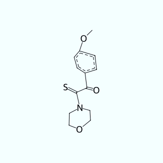 COc1ccc(C(=O)C(=S)N2CCOCC2)cc1